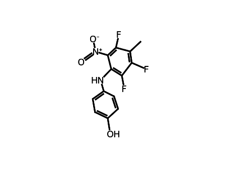 Cc1c(F)c(F)c(Nc2ccc(O)cc2)c([N+](=O)[O-])c1F